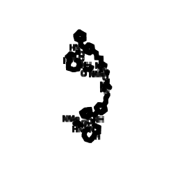 CN[C@@H](C)C(=O)N[C@H]1CCCC[C@H]2CC[C@@H](C(=O)N[C@@H](c3ccccc3)c3ccc(CCCc4cn(COCc5cn(CCCC6=CCC([C@@H](NC(=O)[C@@H]7CC[C@@H]8CCCC[C@H](NC(=O)[C@H](C)NC)C(=O)N87)c7ccccc7)C=C6)nn5)nn4)cc3)N2C1=O